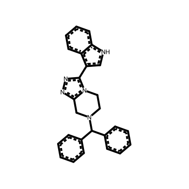 c1ccc(C(c2ccccc2)N2CCn3c(nnc3-c3c[nH]c4ccccc34)C2)cc1